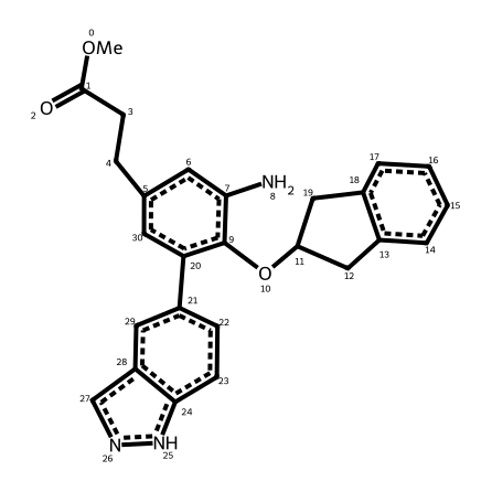 COC(=O)CCc1cc(N)c(OC2Cc3ccccc3C2)c(-c2ccc3[nH]ncc3c2)c1